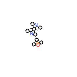 Cc1c2c(-c3ccccc3)nc3cc(-c4ccc(P(=O)(c5ccccc5)c5ccccc5)cc4)ccc3c2c(C)c2c(-c3ccccc3)nc3ccccc3c12